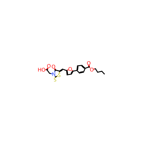 CCCCOC(=O)c1ccc(-c2ccc(/C=C3\SC(=S)N(CC(=O)O)C3=O)o2)cc1